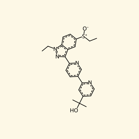 CCn1nc(-c2ccc(-c3cc(C(C)(C)O)ccn3)cn2)c2cc([S+]([O-])CC)ccc21